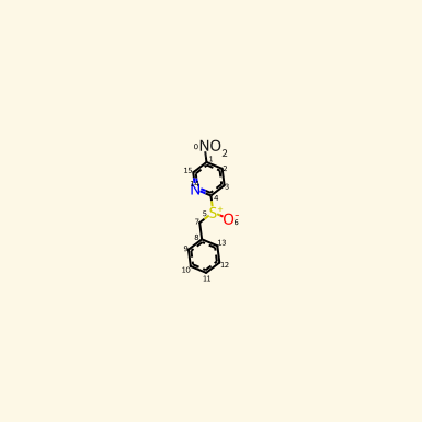 O=[N+]([O-])c1ccc([S+]([O-])Cc2ccccc2)nc1